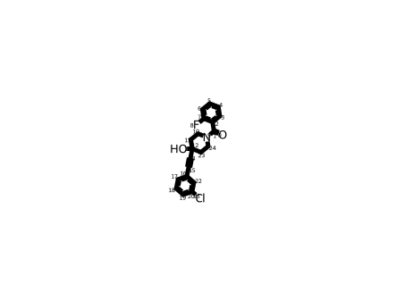 O=C(c1ccccc1F)N1CCC(O)(C#Cc2cccc(Cl)c2)CC1